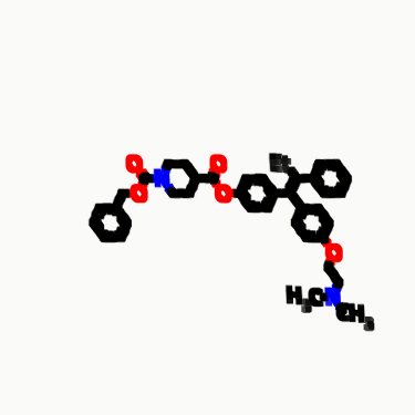 CCC(=C(c1ccc(OCCN(C)C)cc1)c1ccc(OC(=O)C2CCN(C(=O)OCc3ccccc3)CC2)cc1)c1ccccc1